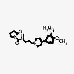 COc1ccc(C2=CCN(CCCNC(=O)N3CCCC3=O)CC2)cc1OC